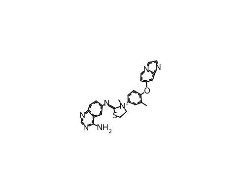 Cc1cc([N+]2(C)CCSC2=Nc2ccc3ncnc(N)c3c2)ccc1Oc1ccn2ccnc2c1